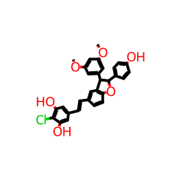 COc1cc(OC)cc(C2c3cc(/C=C/c4cc(O)c(Cl)c(O)c4)ccc3OC2c2ccc(O)cc2)c1